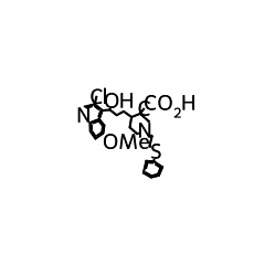 COc1ccc2ncc(Cl)c(C(O)CCC3CCN(CCSc4ccccc4)CC3CC(=O)O)c2c1